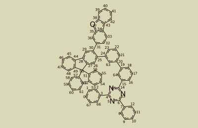 c1ccc(-c2nc(-c3ccccc3)nc(-c3cccc(-c4cccc(-c5cc6c(cc5-c5ccc7c(c5)oc5ccccc57)-c5ccccc5C6(c5ccccc5)c5ccccc5)c4)c3)n2)cc1